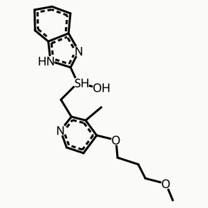 COCCCOc1ccnc(C[SH](O)c2nc3ccccc3[nH]2)c1C